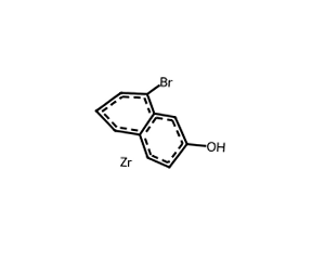 Oc1ccc2cccc(Br)c2c1.[Zr]